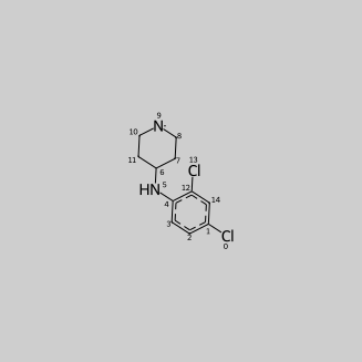 Clc1ccc(NC2CC[N]CC2)c(Cl)c1